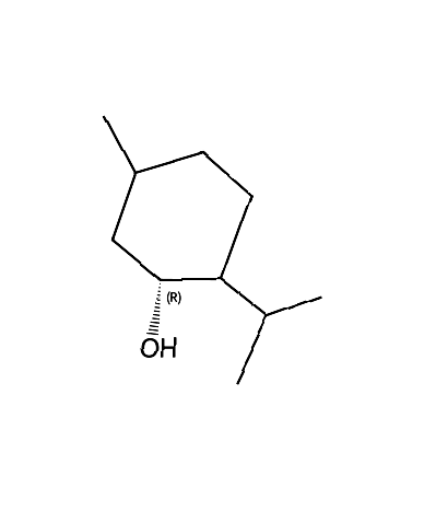 CC1CCC(C(C)C)[C@H](O)C1